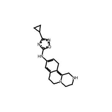 C1=C(Nc2nc(C3CC3)no2)C=C2CCN3CCNCC3=C2C1